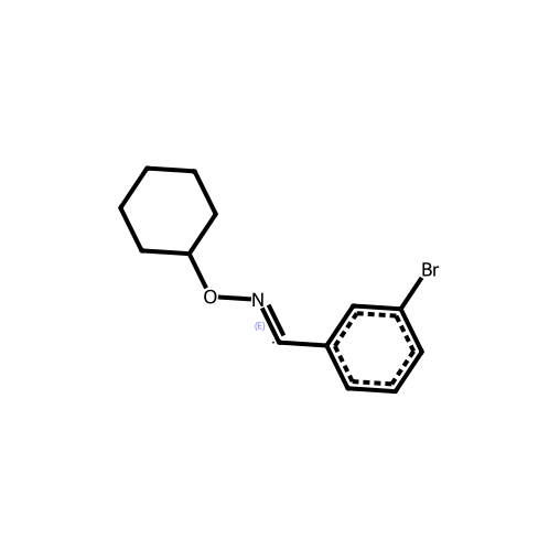 Brc1cccc(/[C]=N/OC2CCCCC2)c1